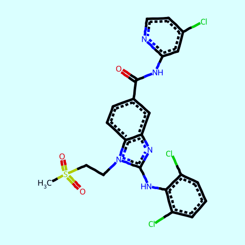 CS(=O)(=O)CCn1c(Nc2c(Cl)cccc2Cl)nc2cc(C(=O)Nc3cc(Cl)ccn3)ccc21